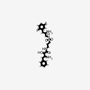 NC(CNS(=O)(=O)CCCNC(=O)C(O)C(N)Cc1ccccc1)Cc1cc(F)ccc1F